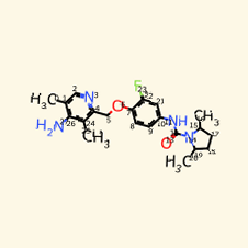 Cc1cnc(COc2ccc(NC(=O)N3C(C)CCC3C)cc2F)c(C)c1N